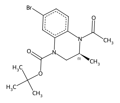 CC(=O)N1c2ccc(Br)cc2N(C(=O)OC(C)(C)C)C[C@@H]1C